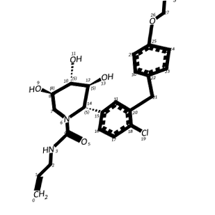 C=CCNC(=O)N1C[C@@H](O)[C@H](O)[C@@H](O)[C@@H]1c1ccc(Cl)c(Cc2ccc(OCC)cc2)c1